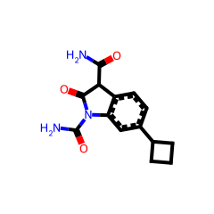 NC(=O)C1C(=O)N(C(N)=O)c2cc(C3CCC3)ccc21